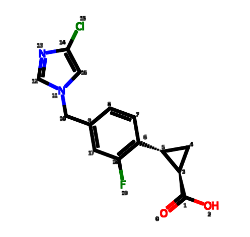 O=C(O)[C@@H]1C[C@H]1c1ccc(Cn2cnc(Cl)c2)cc1F